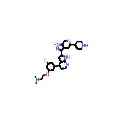 CN(C)CCOc1cc(F)cc(-c2ccnc3[nH]c(-c4n[nH]c5cnc(C6=CCNCC6)cc45)cc23)c1